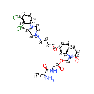 CC(C)C(N)C(=O)NCC(=O)OCN1C(=O)CCc2ccc(OCCCCN3CCN(c4cccc(Cl)c4Cl)CC3)cc21